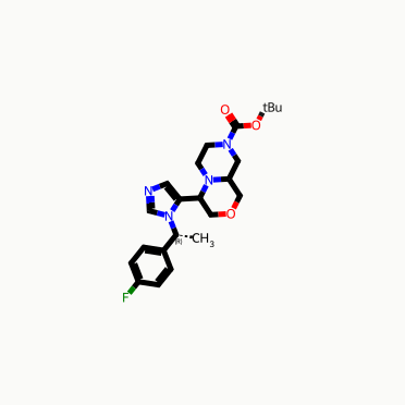 C[C@H](c1ccc(F)cc1)n1cncc1C1COCC2CN(C(=O)OC(C)(C)C)CCN21